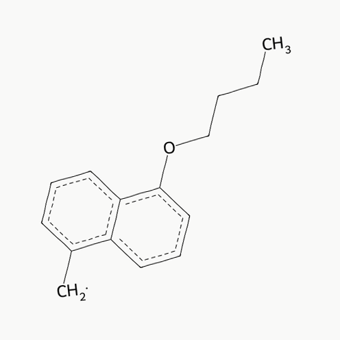 [CH2]c1cccc2c(OCCCC)cccc12